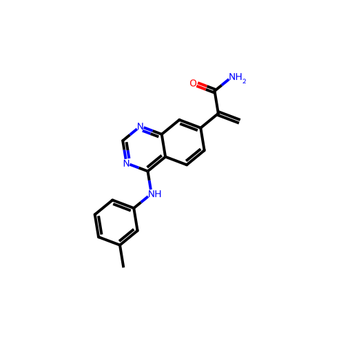 C=C(C(N)=O)c1ccc2c(Nc3cccc(C)c3)ncnc2c1